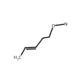 CC=CCCO[N]